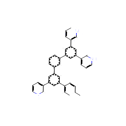 C/C=C\C(=C/N)c1cc(C2=CC=CNC2)cc(-c2cccc(-c3cc(C4=CC=CNC4)cc(C(/C=C\CC)=C/C)c3)c2)c1